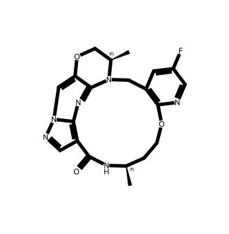 C[C@@H]1CCOc2ncc(F)cc2CN2c3nc4c(cnn4cc3OC[C@H]2C)C(=O)N1